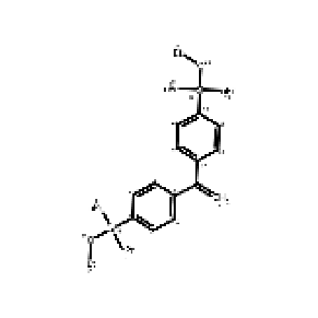 C=C(c1ccc([Si](CCC)(CCC)OCC)cc1)c1ccc([Si](CCC)(CCC)OCC)cc1